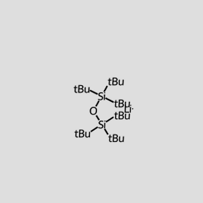 CC(C)(C)[Si](O[Si](C(C)(C)C)(C(C)(C)C)C(C)(C)C)(C(C)(C)C)C(C)(C)C.[Li]